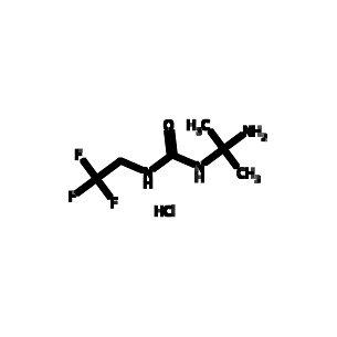 CC(C)(N)NC(=O)NCC(F)(F)F.Cl